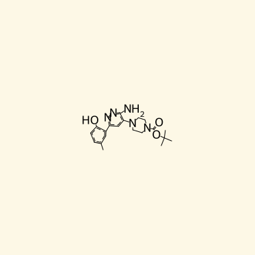 Cc1ccc(O)c(-c2cc(N3CCN(C(=O)OC(C)(C)C)CC3)c(N)nn2)c1